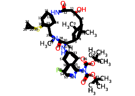 Cc1cc2cc(C)c1CC(O)CC(=O)Nc1ccc(SC3CC3)c(c1)CN(C)C(=O)[C@@H]2Nc1ccc2c(N(C(=O)OC(C)(C)C)C(=O)OC(C)(C)C)ncc(F)c2c1